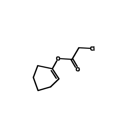 O=C(CCl)OC1=CCCCC1